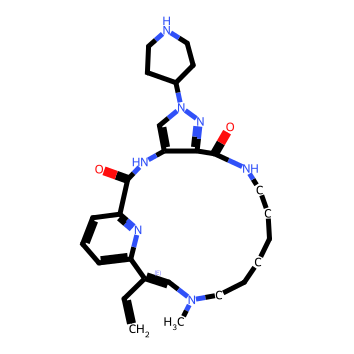 C=C/C1=C\N(C)CCCCCCNC(=O)c2nn(C3CCNCC3)cc2NC(=O)c2cccc1n2